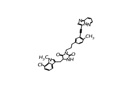 Cc1ccc(CCCN2C(=O)NC(Cc3cn(C)c4c(Cl)cccc34)C2=O)cc1C#Cc1cnc2cccnn12